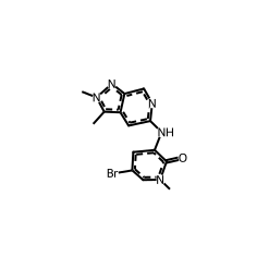 Cc1c2cc(Nc3cc(Br)cn(C)c3=O)ncc2nn1C